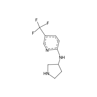 FC(F)(F)c1ccc(NC2CCNC2)nc1